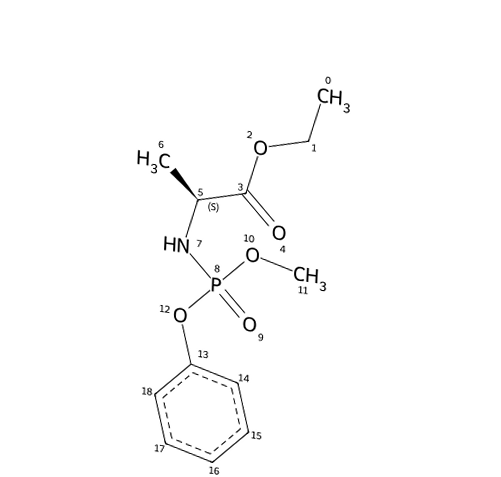 CCOC(=O)[C@H](C)NP(=O)(OC)Oc1ccccc1